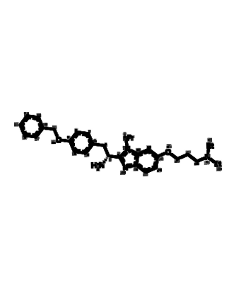 CCCn1c([C@H](N)Cc2ccc(OCc3ccccc3)cc2)nc2ccc(OCCCN(CC)CC)cc21